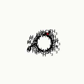 C/C=C/C[C@@H](C)[C@@H](O)[C@H]1C(=O)N[C@@H](CC)C(=O)N(C)[C@H](C)C(=O)N(C)[C@@H]([C@H](C)COCCN2CCOCC2)C(=O)NC(C(C)C)C(=O)N(C)[C@@H](CC(C)C)C(=O)N[C@@H](C)C(=O)N[C@H](C)C(=O)N(C)[C@@H](CC(C)C)C(=O)N(C)[C@@H](CC(C)C)C(=O)N(C)C(C(C)C)C(=O)N1C